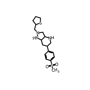 CS(=O)(=O)c1ccc(C2CNC3CN(CC4CCCS4)NC3C2)cc1